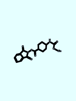 CC(C)(C)OC(=O)NC1CCC(C(=O)ON2C(=O)c3ccccc3C2=O)CC1